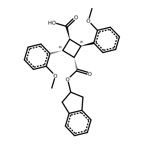 COc1ccccc1[C@@H]1[C@H](C(=O)O)[C@@H](c2ccccc2OC)[C@H]1C(=O)OC1Cc2ccccc2C1